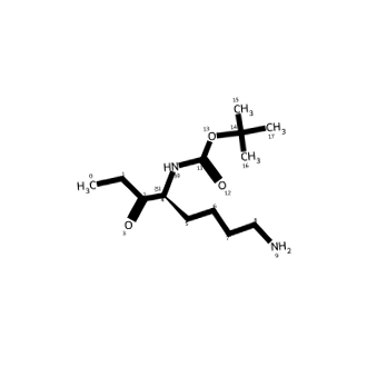 CCC(=O)[C@H](CCCCN)NC(=O)OC(C)(C)C